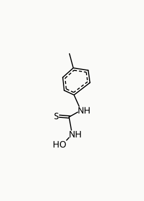 Cc1ccc(NC(=S)NO)cc1